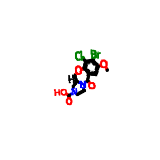 COc1cc2c(c(Cl)c1Br)OC[C@H]1CN(C(=O)O)CCN1C2=O